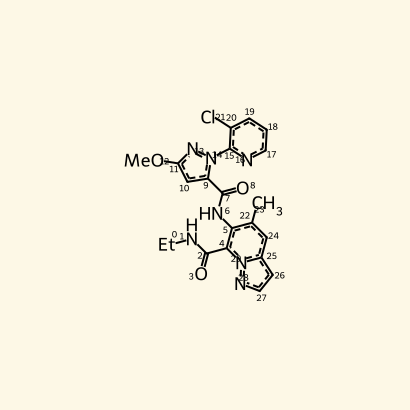 CCNC(=O)c1c(NC(=O)c2cc(OC)nn2-c2ncccc2Cl)c(C)cc2ccnn12